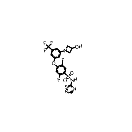 O=S(=O)(Nc1ncns1)c1cc(F)c(Oc2cc(N3CC(O)C3)cc(C(F)(F)F)c2)cc1F